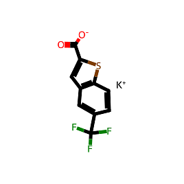 O=C([O-])c1cc2cc(C(F)(F)F)ccc2s1.[K+]